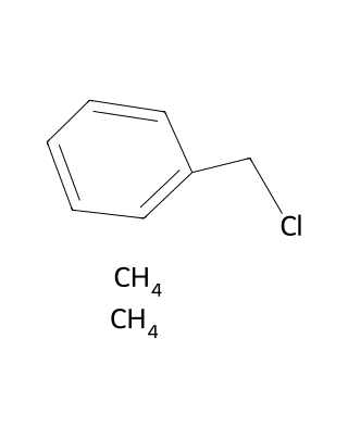 C.C.ClCc1ccccc1